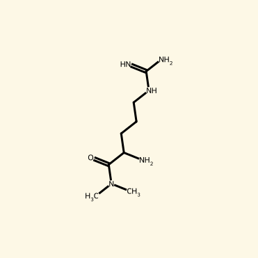 CN(C)C(=O)C(N)CCCNC(=N)N